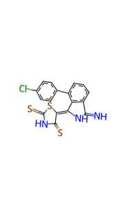 N=C1NC(=C2SC(=S)NC2=S)c2c1cccc2-c1ccc(Cl)cc1